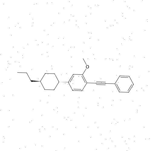 CCC[C@H]1CC[C@H](c2ccc(C#Cc3ccccc3)c(OC)c2)CC1